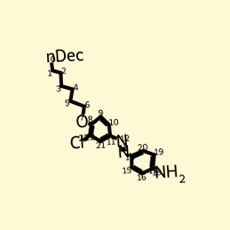 CCCCCCCCCCCCCCCCOc1ccc(N=Nc2ccc(N)cc2)cc1Cl